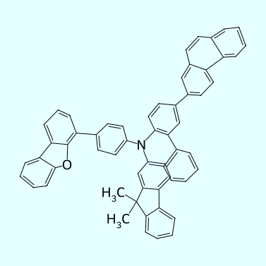 CC1(C)c2ccccc2-c2ccc(N(c3ccc(-c4cccc5c4oc4ccccc45)cc3)c3ccc(-c4ccc5c(ccc6ccccc65)c4)cc3-c3ccccc3)cc21